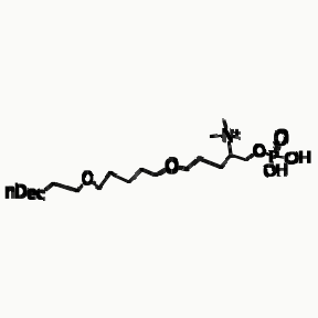 CCCCCCCCCCCCOCCCCCOCCCC(COP(=O)(O)O)[N+](C)(C)C